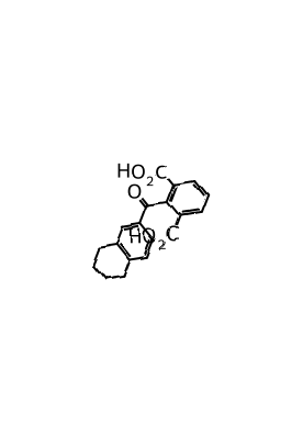 O=C(O)c1cccc(C(=O)O)c1C(=O)c1ccc2c(c1)CCCC2